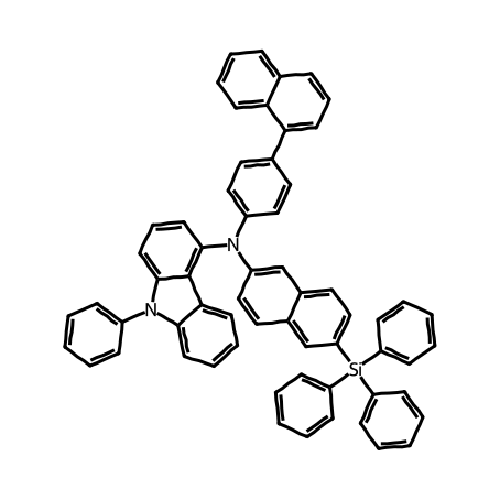 c1ccc(-n2c3ccccc3c3c(N(c4ccc(-c5cccc6ccccc56)cc4)c4ccc5cc([Si](c6ccccc6)(c6ccccc6)c6ccccc6)ccc5c4)cccc32)cc1